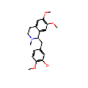 COc1ccc(C[C@@H]2c3cc(OC)c(OC)cc3CCN2C)cc1O